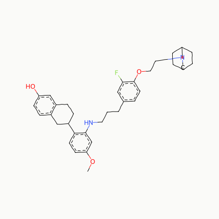 COc1ccc(C2CCc3cc(O)ccc3C2)c(NCCCc2ccc(OCCN3CC4CCC(CC4)C3)c(F)c2)c1